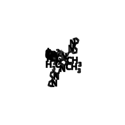 Cc1c(C)c(N=CCc2cccc(-c3ccccn3)n2)c(C)c(C)c1N=CCc1cccc(-c2ccccn2)n1.[Cl-].[Cl-].[Cl-].[Cl-].[Co+2].[Co+2]